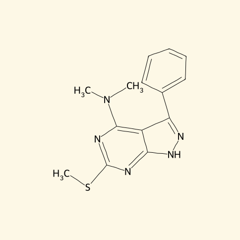 CSc1nc(N(C)C)c2c(-c3ccccc3)n[nH]c2n1